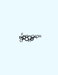 C[C@]12CC(F)C(=O)C(Cl)=C1CC[C@@H]1[C@@H]2CC[C@]2(C)C(=CCO)CC[C@@H]12